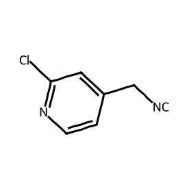 [C-]#[N+]Cc1ccnc(Cl)c1